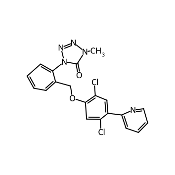 Cn1nnn(-c2ccccc2COc2cc(Cl)c(-c3ccccn3)cc2Cl)c1=O